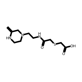 C=C1CN(CCNC(=O)CSCC(=O)O)CCN1